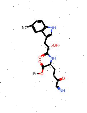 CC(C)OC(=O)[C@H](CCC(=O)C=N)NC(=O)[C@@H](O)Cc1c[nH]c2ccc(C#N)cc12